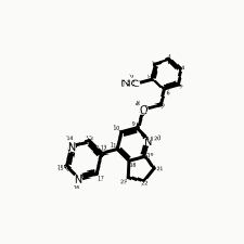 N#Cc1ccccc1COc1cc(-c2cncnc2)c2c(n1)CCC2